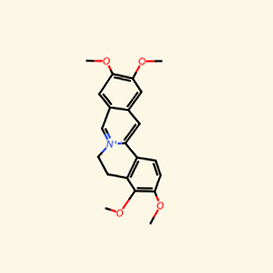 COc1cc2cc3[n+](cc2cc1OC)CCc1c-3ccc(OC)c1OC